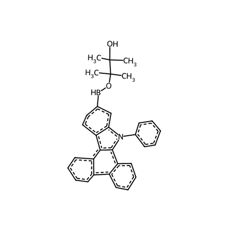 CC(C)(O)C(C)(C)OBc1ccc2c3c4ccccc4c4ccccc4c3n(-c3ccccc3)c2c1